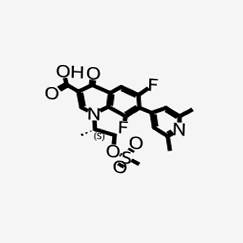 Cc1cc(-c2c(F)cc3c(=O)c(C(=O)O)cn([C@@H](C)COS(C)(=O)=O)c3c2F)cc(C)n1